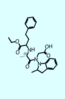 CCOC(=O)C(CCc1ccccc1)N[C@@H](C)C(=O)N(CC(=O)O)N1c2ccccc2CC1C